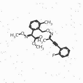 CO/N=C(/C(=O)OC)c1cccc(C)c1CO/N=C(\C)C#Cc1ccccc1F